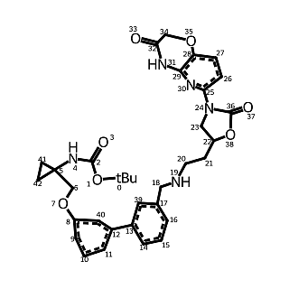 CC(C)(C)OC(=O)NC1(COc2cccc(-c3cccc(CNCCC4CN(c5ccc6c(n5)NC(=O)CO6)C(=O)O4)c3)c2)CC1